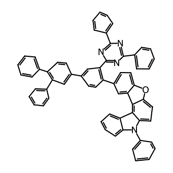 c1ccc(-c2nc(-c3ccccc3)nc(-c3cc(-c4ccc(-c5ccccc5)c(-c5ccccc5)c4)ccc3-c3ccc4oc5ccc6c(c7ccccc7n6-c6ccccc6)c5c4c3)n2)cc1